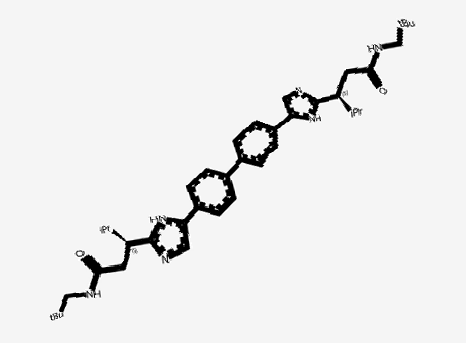 CC(C)[C@H](CC(=O)NCC(C)(C)C)c1ncc(-c2ccc(-c3ccc(-c4cnc([C@@H](CC(=O)NCC(C)(C)C)C(C)C)[nH]4)cc3)cc2)[nH]1